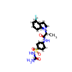 C[C@H](C(=O)Nc1ccc(S(=O)(=O)NC(N)=O)cc1)n1ccc2c(F)cccc21